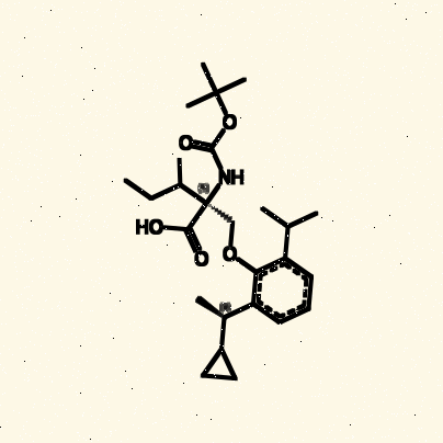 CCC(C)[C@@](COc1c(C(C)C)cccc1[C@H](C)C1CC1)(NC(=O)OC(C)(C)C)C(=O)O